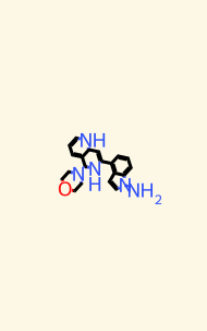 Nn1ccc2c(C3=CC4NC=CC=C4C(N4CCOCC4)N3)cccc21